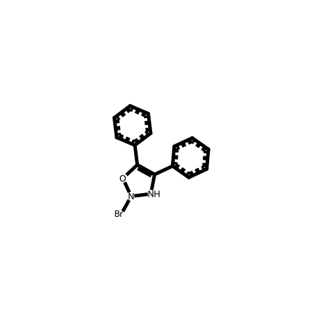 BrN1NC(c2ccccc2)=C(c2ccccc2)O1